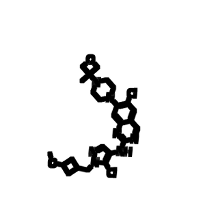 COC1CC(Cn2ncc(Nc3ncc4cc(Cl)c(N5CCN(C6(C)COC6)CC5)cc4n3)c2Cl)C1